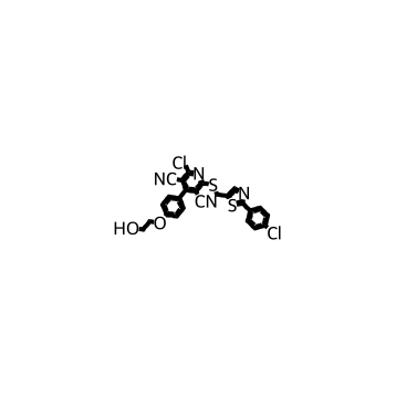 N#Cc1c(Cl)nc(SCc2cnc(-c3ccc(Cl)cc3)s2)c(C#N)c1-c1ccc(OCCO)cc1